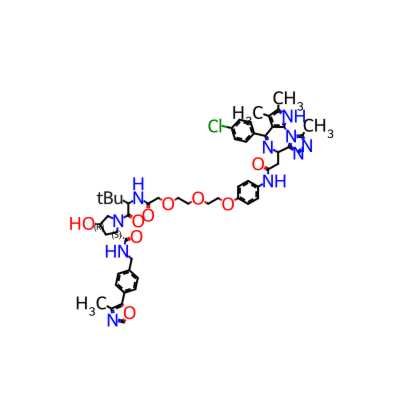 Cc1ncoc1-c1ccc(CNC(=O)[C@@H]2C[C@@H](O)CN2C(=O)C(NC(=O)COCCOCCOc2ccc(NC(=O)CC3N=C(c4ccc(Cl)cc4)c4c([nH]c(C)c4C)-n4c(C)nnc43)cc2)C(C)(C)C)cc1